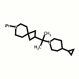 CC(C)N1CCC2(CC1)CC(C(C)(C)N1CCC(C3CC3)CC1)C2